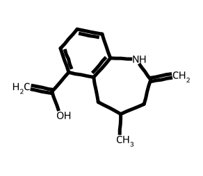 C=C1CC(C)Cc2c(cccc2C(=C)O)N1